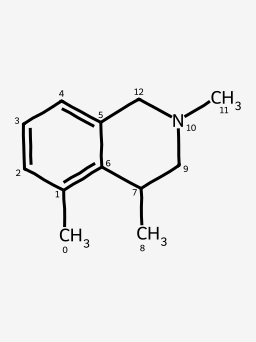 Cc1cccc2c1C(C)CN(C)C2